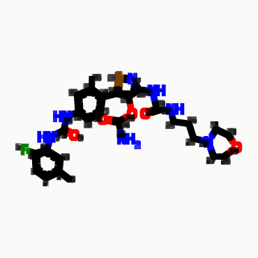 Cc1ccc(F)c(NC(=O)Nc2ccc(-c3snc(NC(=O)NCCCN4CCOCC4)c3OC(N)=O)c(C)c2)c1